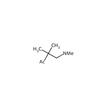 CNCC(C)(C)C(C)=O